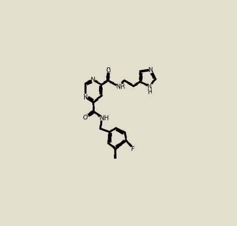 Cc1cc(CNC(=O)c2cc(C(=O)NCCc3cnc[nH]3)ncn2)ccc1F